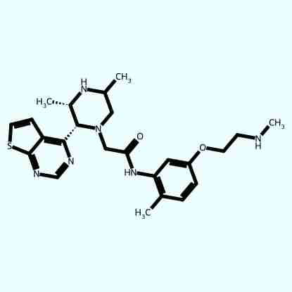 CNCCOc1ccc(C)c(NC(=O)CN2CC(C)N[C@@H](C)[C@H]2c2ncnc3sccc23)c1